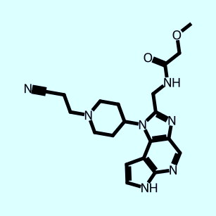 COCC(=O)NCc1nc2cnc3[nH]ccc3c2n1C1CCN(CCC#N)CC1